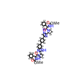 COC(=O)N[C@@H](C(=O)N1CCCC1c1nc(-c2ccc(-c3ccc4nc([C@@H]5CCCN5C(=O)[C@H](NC(=O)OC)c5ccccc5)[nH]c4c3)cc2)c[nH]1)c1ccccc1